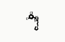 Clc1cc(Cl)cc(-c2noc(CCCN3CCCC3)n2)c1